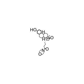 C[C@]12CC[C@@H]3c4ccc(O)cc4CC[C@H]3[C@@H]1[C@@H](CCCC(=O)N1CCOCC1)CC2=O